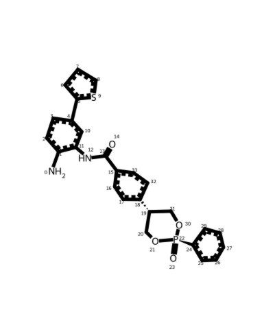 Nc1ccc(-c2cccs2)cc1NC(=O)c1ccc([C@H]2CO[P@](=O)(c3ccccc3)OC2)cc1